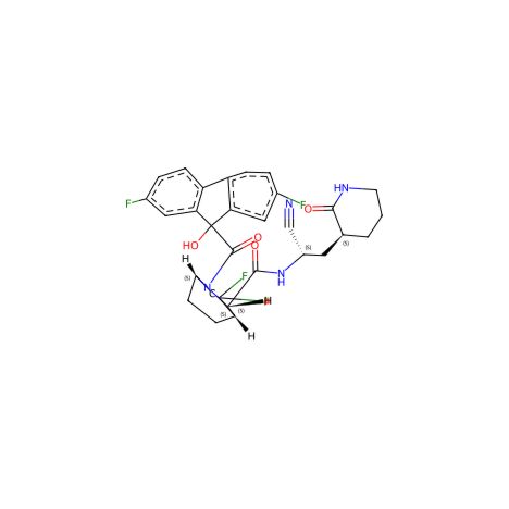 N#C[C@H](C[C@@H]1CCCNC1=O)NC(=O)[C@@H]1[C@@H]2CC[C@@H](CC2(F)F)N1C(=O)C1(O)c2cc(F)ccc2-c2ccc(F)cc21